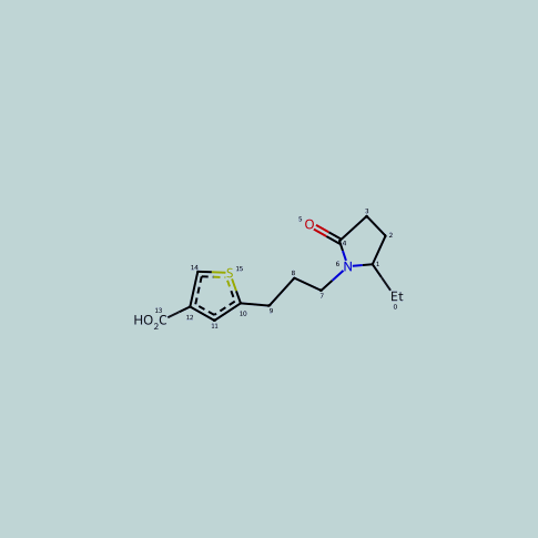 CCC1CCC(=O)N1CCCc1cc(C(=O)O)cs1